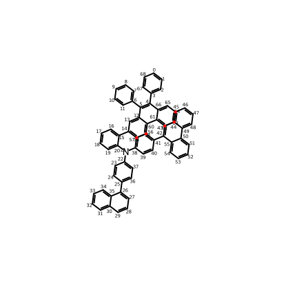 c1ccc(-c2c(-c3ccccc3)c3cc(-c4ccccc4N(c4ccc(-c5cccc6ccccc56)cc4)c4ccc(-c5cc6ccccc6c6ccccc56)cc4)ccc3c3ccccc23)cc1